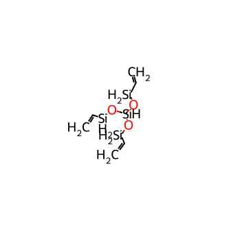 C=C[SiH2]O[SiH](O[SiH2]C=C)O[SiH2]C=C